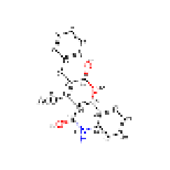 CC(=O)Oc1c(Cc2ccccc2)c(=O)oc2c1c(=O)[nH]c1ccccc12